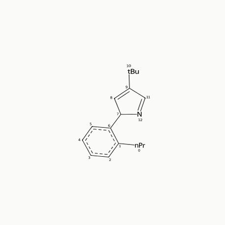 CCCc1ccccc1C1C=C(C(C)(C)C)C=N1